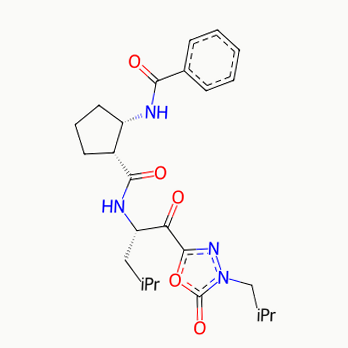 CC(C)C[C@H](NC(=O)[C@@H]1CCC[C@@H]1NC(=O)c1ccccc1)C(=O)c1nn(CC(C)C)c(=O)o1